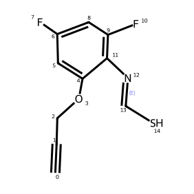 C#CCOc1cc(F)cc(F)c1/N=C/S